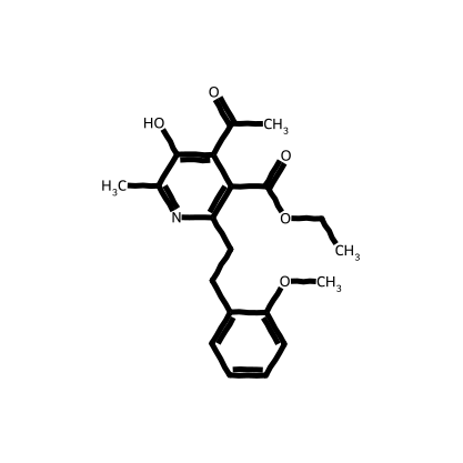 CCOC(=O)c1c(CCc2ccccc2OC)nc(C)c(O)c1C(C)=O